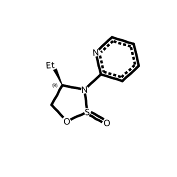 CC[C@@H]1COS(=O)N1c1ccccn1